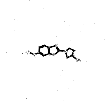 COc1ccc2nc(N3CCC(C)C3)oc2c1